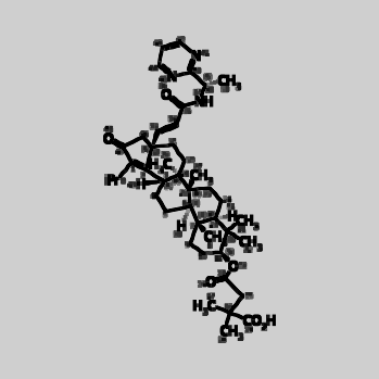 CC(C)C1=C2[C@H]3CC[C@@H]4[C@@]5(C)CC[C@H](OC(=O)CC(C)(C)C(=O)O)C(C)(C)[C@@H]5CC[C@@]4(C)[C@]3(C)CC[C@@]2(C=CC(=O)N[C@@H](C)c2ncccn2)CC1=O